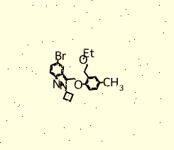 CCOCCc1cc(C)ccc1OCc1c2cc(Br)ccc2nn1C1CCC1